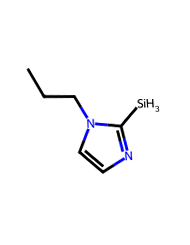 CCCn1ccnc1[SiH3]